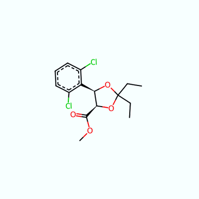 CCC1(CC)O[C@H](c2c(Cl)cccc2Cl)[C@H](C(=O)OC)O1